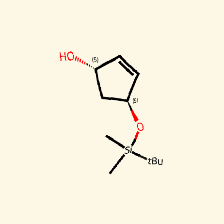 CC(C)(C)[Si](C)(C)O[C@@H]1C=C[C@@H](O)C1